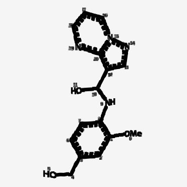 COc1cc(CO)ccc1NC(O)c1cnn2cccnc12